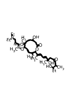 CCC(O)C(C)C1OC1CC(C)(O)/C=C/C=C(\C)C1OC(=O)CC(O)CCC(C)(OC)C(ON(C)CCCN(CC)CC)/C=C/C1C